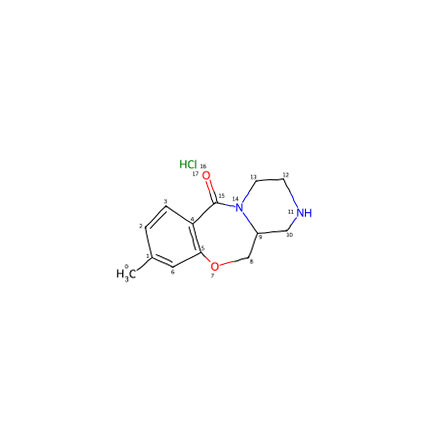 Cc1ccc2c(c1)OCC1CNCCN1C2=O.Cl